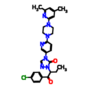 CCC(C(=O)c1ccc(Cl)cc1)n1ncn(-c2ccc(N3CCN(c4cc(C)cc(C)n4)CC3)nc2)c1=O